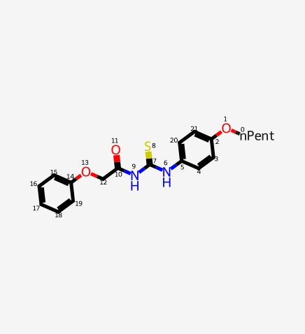 CCCCCOc1ccc(NC(=S)NC(=O)COc2ccccc2)cc1